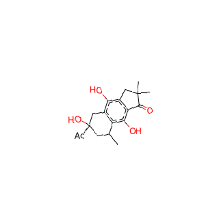 CC(=O)C1(O)Cc2c(O)c3c(c(O)c2C(C)C1)C(=O)C(C)(C)C3